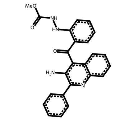 COC(=O)NNc1ccccc1C(=O)c1c(N)c(-c2ccccc2)nc2ccccc12